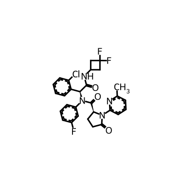 Cc1cccc(N2C(=O)CC[C@H]2C(=O)N(c2cccc(F)c2)[C@H](C(=O)NC2CC(F)(F)C2)c2ccccc2Cl)n1